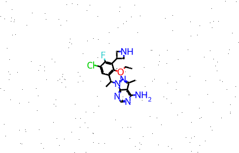 CCOc1c(C(C)n2nc(C)c3c(N)ncnc32)cc(Cl)c(F)c1C1CNC1